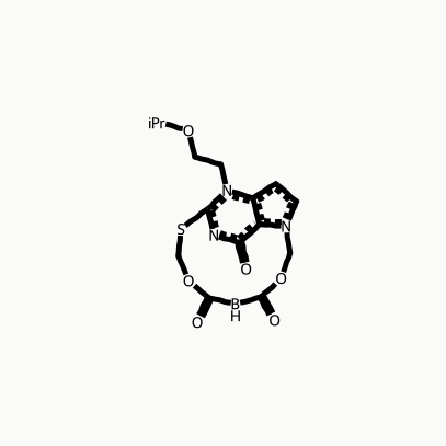 CC(C)OCCn1c2nc(=O)c3c1ccn3COC(=O)BC(=O)OCS2